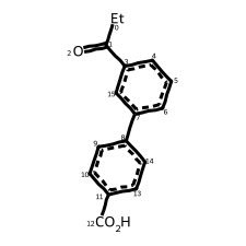 CCC(=O)c1cccc(-c2ccc(C(=O)O)cc2)c1